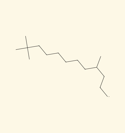 [CH2]CCC(C)CCCCCCC(C)(C)C